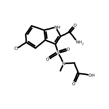 CN(CC(=O)O)S(=O)(=O)c1c(C(N)=O)[nH]c2ccc(Cl)cc12